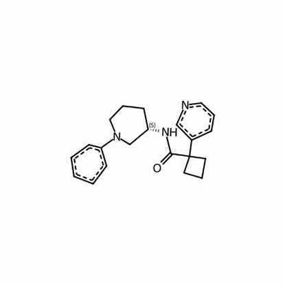 O=C(N[C@H]1CCCN(c2ccccc2)C1)C1(c2cccnc2)CCC1